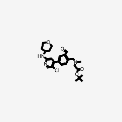 CN(CC(=O)OC(C)(C)C)Cc1ccc(-c2cc(NC3CCOCC3)ncc2Cl)cc1C=O